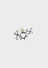 CC(C)(C)Cc1cccc(C(C)(C)C)c1F